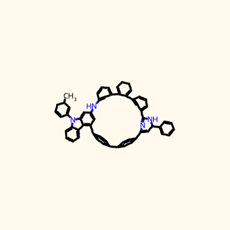 CC1C=C(n2c3ccccc3c3c4cc(cc32)Nc2cccc(c2)C2=CCCC=C2c2cccc(c2)C2=NC(=CC(c3ccccc3)N2)c2ccc(cc2)-c2ccc-4cc2)C=CC1